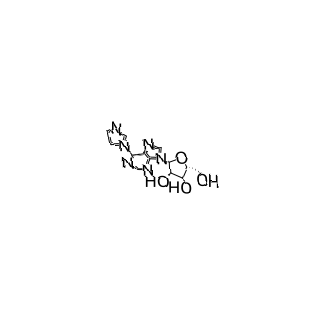 OC[C@H]1O[C@@H](n2cnc3c(-n4ccnc4)ncnc32)[C@H](O)[C@@H]1O